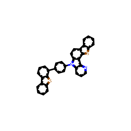 c1ccc2c(c1)sc1c(-c3ccc(-n4c5cccnc5c5c6sc7ccccc7c6ccc54)cc3)cccc12